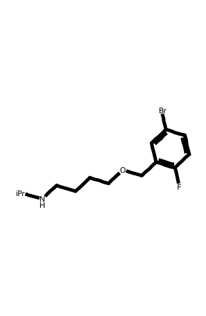 CC(C)NCCCCOCc1cc(Br)ccc1F